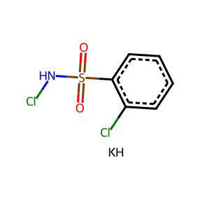 O=S(=O)(NCl)c1ccccc1Cl.[KH]